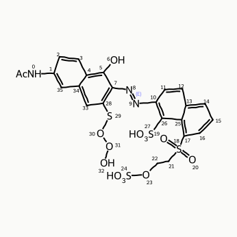 CC(=O)Nc1ccc2c(O)c(/N=N/c3ccc4cccc(S(=O)(=O)CCOS(=O)(=O)O)c4c3S(=O)(=O)O)c(SOOO)cc2c1